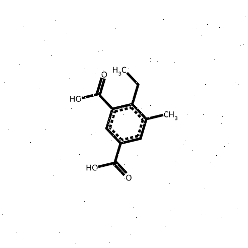 CCc1c(C)cc(C(=O)O)cc1C(=O)O